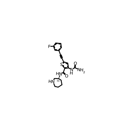 NC(=O)Nc1cc(C#Cc2cccc(F)c2)sc1C(=O)N[C@H]1CCCCNC1